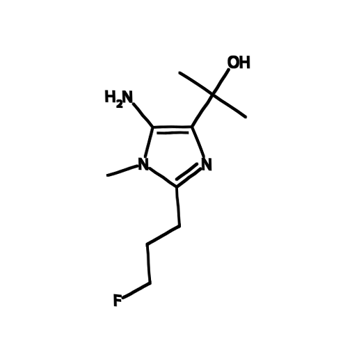 Cn1c(CCCF)nc(C(C)(C)O)c1N